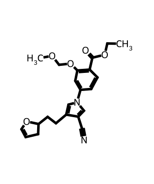 CCOC(=O)c1ccc(-n2cc(C#N)c(CCC3CC=CO3)c2)cc1OCOC